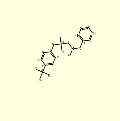 CN(Cc1cnccn1)CC(C)(C)Cc1ccc(C(C)(C)C)cc1